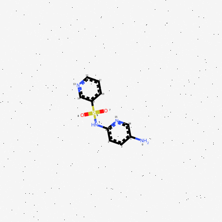 Nc1ccc(NS(=O)(=O)c2cccnc2)nc1